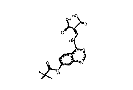 CC(C)(C)C(=O)Nc1ccc2c(NC=C(C(=O)O)C(=O)O)ncnc2c1